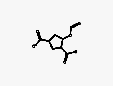 O=COC1CC(C(=O)Cl)CC1C(=O)Cl